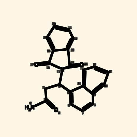 NC(=O)CC(c1cccc2ccccc12)N1C(=O)c2ccccc2C1=O